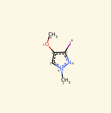 COc1cn(C)nc1I